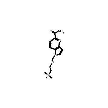 C[Si](C)(C)CCOCn1ccc2nc(C(N)=O)ccc21